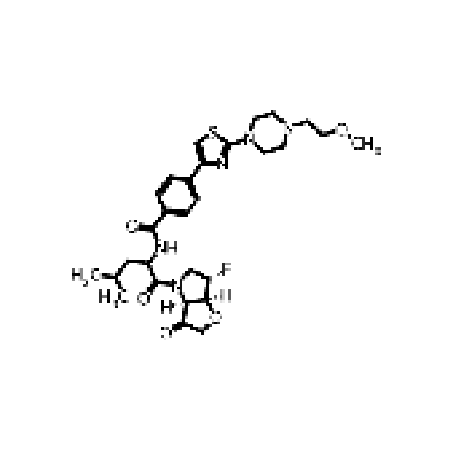 COCCN1CCN(c2nc(-c3ccc(C(=O)NC(CC(C)C)C(=O)N4C[C@H](F)[C@H]5OCC(=O)[C@H]54)cc3)cs2)CC1